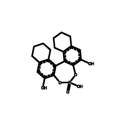 O=P1(O)Oc2c(O)cc3c(c2-c2c4c(cc(O)c2O1)CCCC4)CCCC3